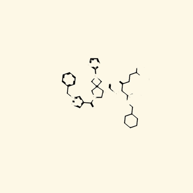 CC(C)CCC(=O)[C@@H](NC(=O)[C@@H]1CN(C(=O)c2cnn(Cc3ccccc3)c2)CC12CN(c1ncco1)C2)[C@@H](C)OCC1CCCCC1